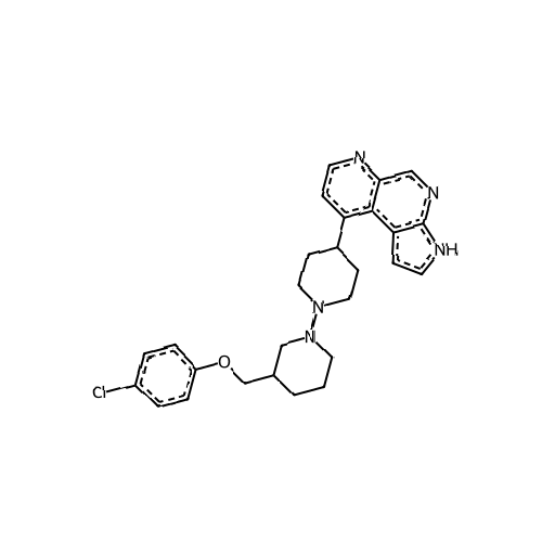 Clc1ccc(OCC2CCCN(N3CCC(c4ccnc5cnc6[nH]ccc6c45)CC3)C2)cc1